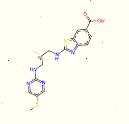 CSc1cnc(NC[C@H](C)CNc2nc3ccc(C(=O)O)cc3s2)nc1